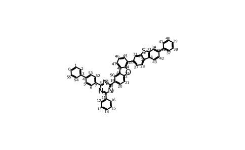 c1ccc(-c2ccc(-c3nc(-c4ccccc4)nc(-c4ccc5oc6c(-c7ccc8c(c7)sc7cc(-c9ccccc9)ccc78)cccc6c5c4)n3)cc2)cc1